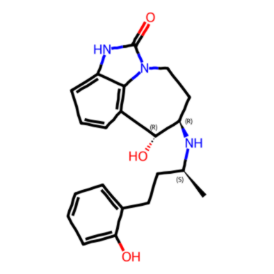 C[C@@H](CCc1ccccc1O)N[C@@H]1CCn2c(=O)[nH]c3cccc(c32)[C@H]1O